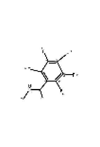 CBC(C)c1c(F)c(F)c(F)c(F)c1F